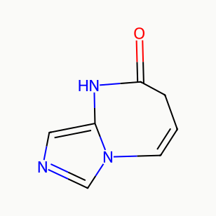 O=C1CC=Cn2cncc2N1